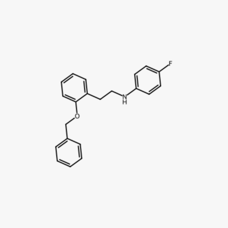 Fc1ccc(NCCc2ccccc2OCc2ccccc2)cc1